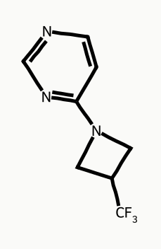 FC(F)(F)C1CN(c2ccncn2)C1